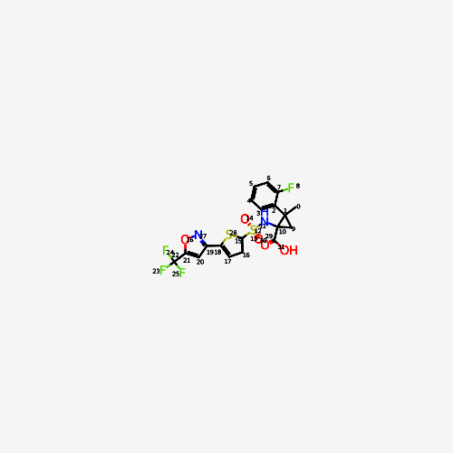 CC1(c2ccccc2F)CC1(NS(=O)(=O)C1CC=C(c2cc(C(F)(F)F)on2)S1)C(=O)O